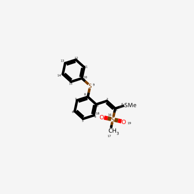 CSC(=Cc1ccccc1Sc1ccccc1)S(C)(=O)=O